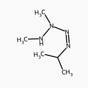 CNN(C)/N=N\C(C)C